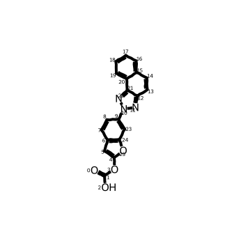 O=C(O)Oc1cc2ccc(-n3nc4ccc5ccccc5c4n3)cc2o1